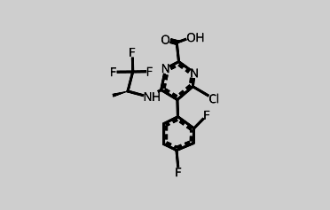 C[C@H](Nc1nc(C(=O)O)nc(Cl)c1-c1ccc(F)cc1F)C(F)(F)F